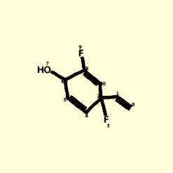 C=CC1(F)C=CC(O)C(F)=C1